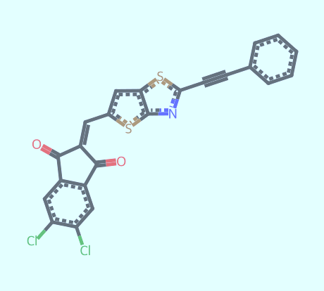 O=C1C(=Cc2cc3sc(C#Cc4ccccc4)nc3s2)C(=O)c2cc(Cl)c(Cl)cc21